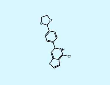 ClC1=c2ccsc2=CC(c2ccc(C3OCCO3)cc2)N1